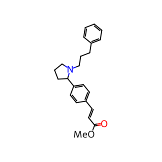 COC(=O)/C=C/c1ccc(C2CCCN2CCCc2ccccc2)cc1